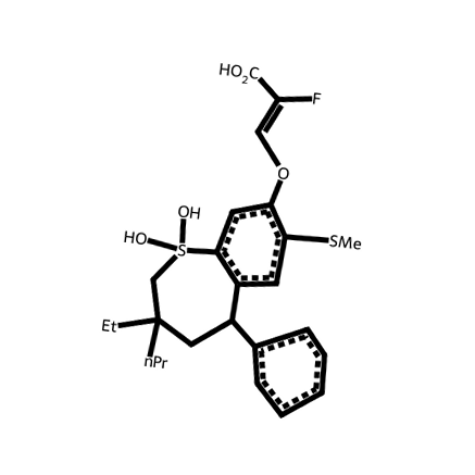 CCCC1(CC)CC(c2ccccc2)c2cc(SC)c(O/C=C(\F)C(=O)O)cc2S(O)(O)C1